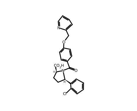 O=C(O)[C@@H]1CC[C@H](c2ccccc2Cl)N1C(=O)c1ccc(OCc2ccccn2)cc1